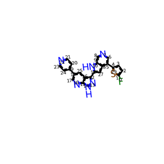 Fc1ccc(-c2cncc3[nH]c(-c4n[nH]c5ncc(-c6ccncc6)cc45)cc23)s1